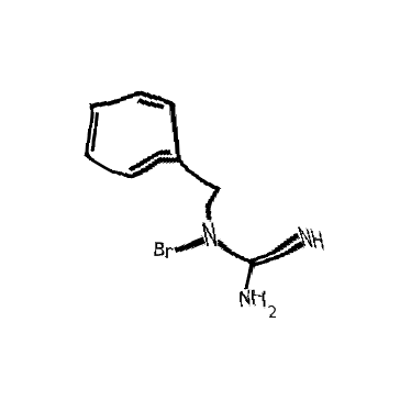 N=C(N)N(Br)Cc1ccccc1